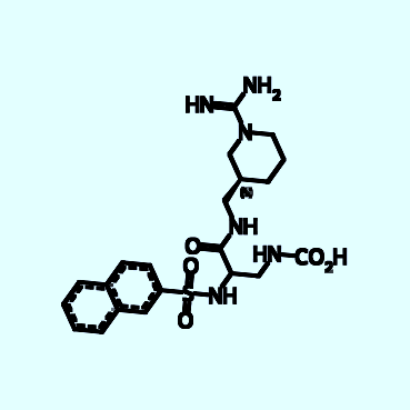 N=C(N)N1CCC[C@@H](CNC(=O)C(CNC(=O)O)NS(=O)(=O)c2ccc3ccccc3c2)C1